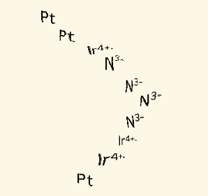 [Ir+4].[Ir+4].[Ir+4].[N-3].[N-3].[N-3].[N-3].[Pt].[Pt].[Pt]